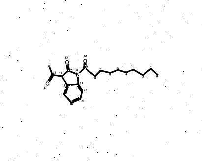 CCCCCCCCCC(=O)N1C(=O)C(C(C)=O)c2ccccc21